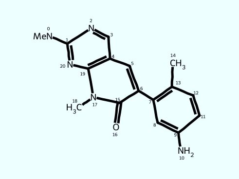 CNc1ncc2cc(-c3cc(N)ccc3C)c(=O)n(C)c2n1